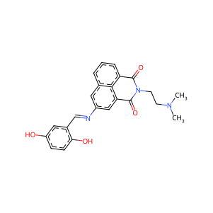 CN(C)CCN1C(=O)c2cccc3cc(N=Cc4cc(O)ccc4O)cc(c23)C1=O